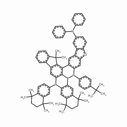 CC(C)(C)c1ccc(N2B3c4cc5c(cc4N(c4ccc6c(c4)C(C)(C)CCC6(C)C)c4cc6c(c(c43)-c3cc4c(cc32)oc2ccc(N(c3ccccc3)c3ccccc3)cc24)C(C)(C)c2ccccc2-6)C(C)(C)CCC5(C)C)cc1